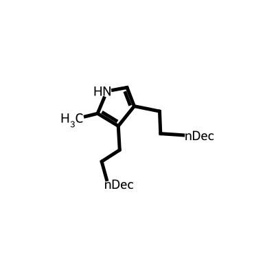 CCCCCCCCCCCCc1c[nH]c(C)c1CCCCCCCCCCCC